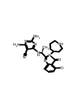 C[C@H](Nc1nc(N)nc(N)c1C#N)c1nc2cccc(Cl)c2c(=O)n1C1CCCNCC1